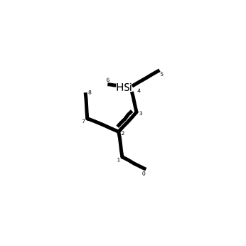 CCC(=C[SiH](C)C)CC